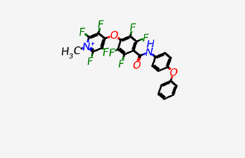 C[n+]1c(F)c(F)c(Oc2c(F)c(F)c(C(=O)Nc3ccc(Oc4ccccc4)cc3)c(F)c2F)c(F)c1F